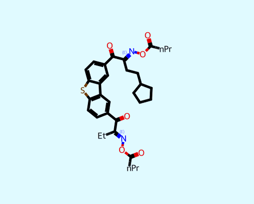 CCCC(=O)O/N=C(\CC)C(=O)c1ccc2sc3ccc(C(=O)/C(CCC4CCCC4)=N/OC(=O)CCC)cc3c2c1